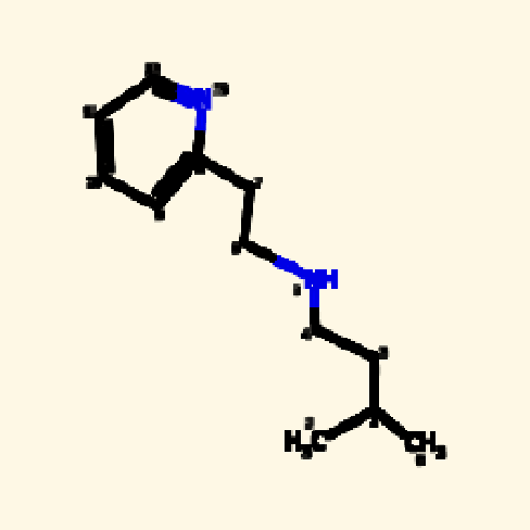 CC(C)CCNCCc1ccccn1